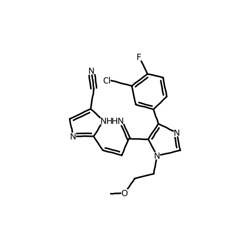 COCCn1cnc(-c2ccc(F)c(Cl)c2)c1C(=N)/C=C\c1ncc(C#N)[nH]1